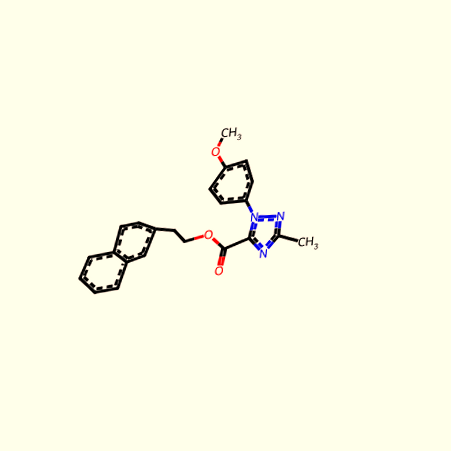 COc1ccc(-n2nc(C)nc2C(=O)OCCc2ccc3ccccc3c2)cc1